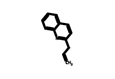 C=C[CH]c1ccc2ccccc2n1